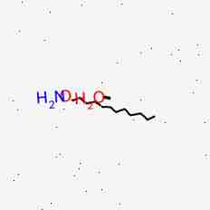 C=C.CCCCCCCCCCCCON.O